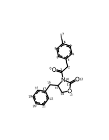 O=C(Cc1ccc(I)cc1)N1C(=O)OCC1Cc1ccccc1